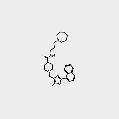 Cc1oc(-c2cccc3ccccc23)nc1CN1CCC(C(=O)NCCCN2CCCCCC2)CC1